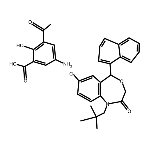 CC(=O)c1cc(N)cc(C(=O)O)c1O.CC(C)(C)CN1C(=O)COC(c2cccc3ccccc23)c2cc(Cl)ccc21